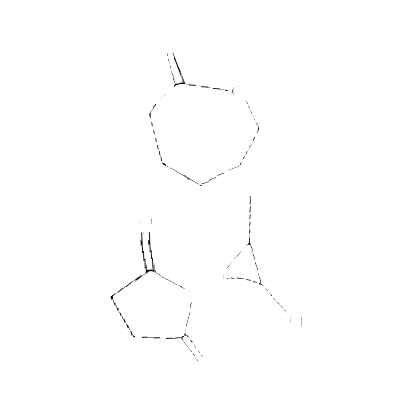 CC1OC1Cl.O=C1CCC(=O)O1.O=C1CCCCCO1